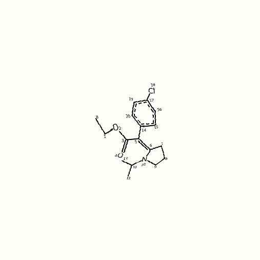 CCOC(=O)/C(=C1/CCCN1C(C)C)c1ccc(Cl)cc1